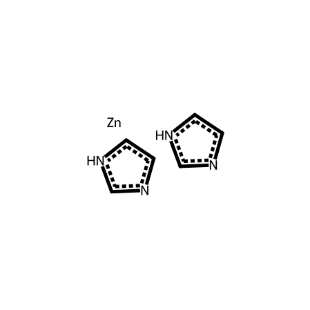 [Zn].c1c[nH]cn1.c1c[nH]cn1